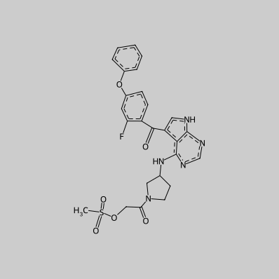 CS(=O)(=O)OCC(=O)N1CCC(Nc2ncnc3[nH]cc(C(=O)c4ccc(Oc5ccccc5)cc4F)c23)C1